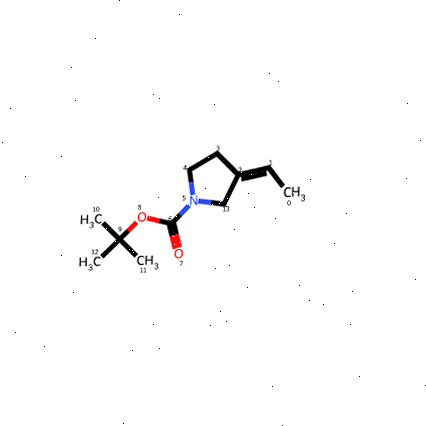 C/C=C1/CCN(C(=O)OC(C)(C)C)C1